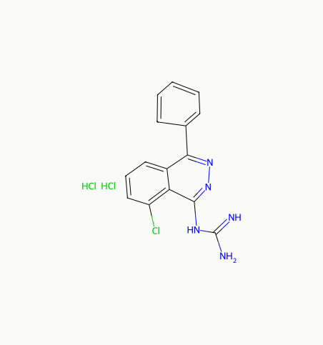 Cl.Cl.N=C(N)Nc1nnc(-c2ccccc2)c2cccc(Cl)c12